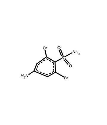 Nc1cc(Br)c(S(N)(=O)=O)c(Br)c1